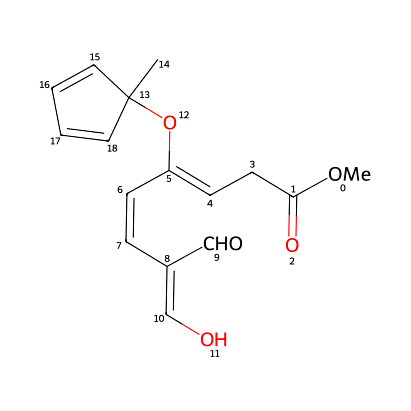 COC(=O)C/C=C(/C=C\C(C=O)=C\O)OC1(C)C=CC=C1